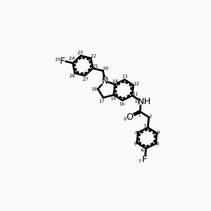 O=C(Cc1ccc(F)cc1)Nc1ccc2c(c1)CCN2Cc1ccc(F)cc1